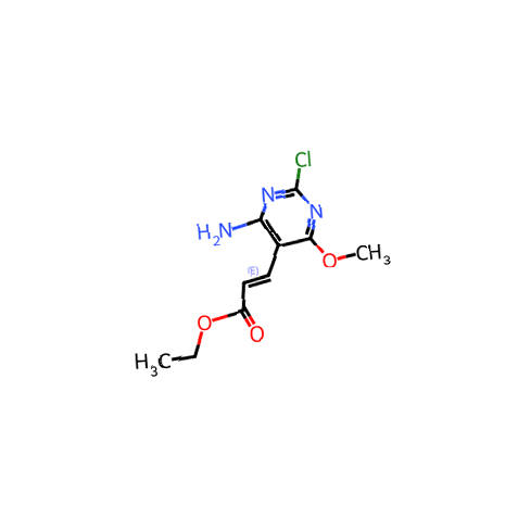 CCOC(=O)/C=C/c1c(N)nc(Cl)nc1OC